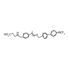 C/C(=N\OCc1ccc(-c2ccc(NC(F)(F)F)cc2)cc1)c1ccc(CNCCC(=O)O)cc1